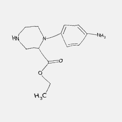 CCOC(=O)C1CNCCN1c1ccc(N)cc1